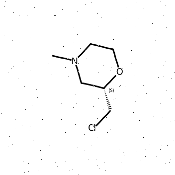 CN1CCO[C@H](CCl)C1